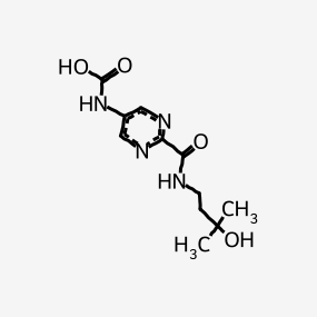 CC(C)(O)CCNC(=O)c1ncc(NC(=O)O)cn1